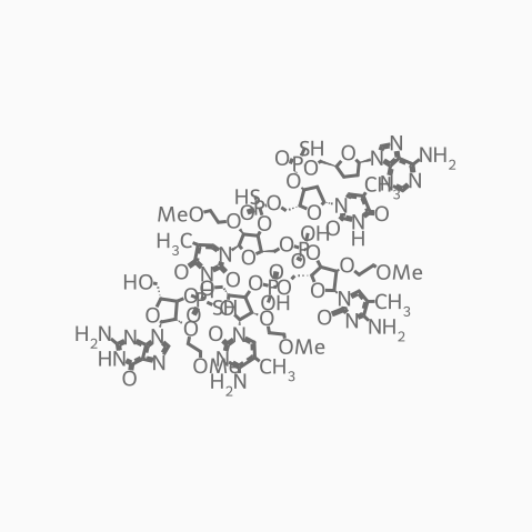 COCCO[C@H]1C(OP(=O)(O)OC[C@H]2O[C@@H](n3cc(C)c(=O)[nH]c3=O)[C@@H](OCCOC)C2OP(=O)(S)OC[C@H]2O[C@@H](n3cc(C)c(=O)[nH]c3=O)C[C@H]2OP(=O)(S)OC[C@@H]2CC[C@H](n3cnc4c(N)ncnc43)O2)[C@@H](COP(=O)(O)OC2[C@@H](COP(=O)(S)OC3[C@@H](CO)O[C@@H](n4cnc5c(=O)[nH]c(N)nc54)[C@H]3OCCOC)O[C@@H](n3cc(C)c(N)nc3=O)[C@H]2OCCOC)O[C@H]1n1cc(C)c(N)nc1=O